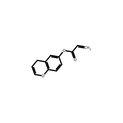 C=CC(=O)Oc1ccc2c(c1)CC=CO2